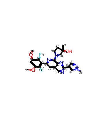 COc1cc(OC)c(F)c(-c2cc3cnc(-c4cnn(C)c4)nc3c(N3CCC(C)(O)C3)n2)c1F